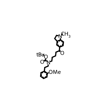 COc1ccccc1CCN(CCCCC(=O)c1ccc2c(c1)CCN2C)C(=O)OC(C)(C)C